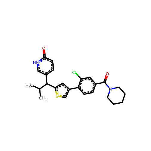 CC(C)C(c1ccc(=O)[nH]c1)c1cc(-c2ccc(C(=O)N3CCCCC3)cc2Cl)cs1